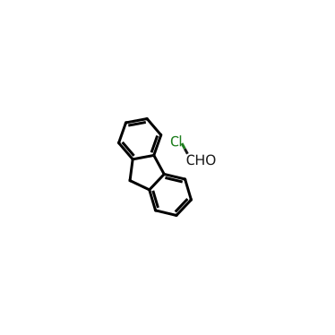 O=CCl.c1ccc2c(c1)Cc1ccccc1-2